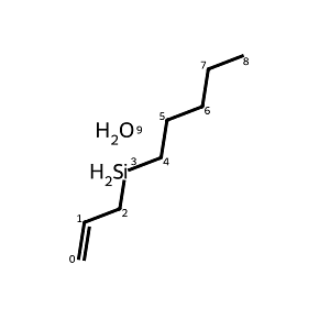 C=CC[SiH2]CCCCC.O